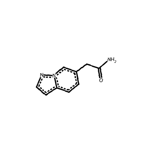 NC(=O)Cc1ccc2ccnn2c1